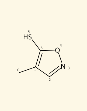 Cc1cnoc1S